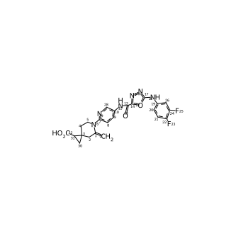 C=C1CC2(CCN1c1ccc(NC(=O)c3nnc(Nc4ccc(F)c(F)c4)o3)cn1)CC2C(=O)O